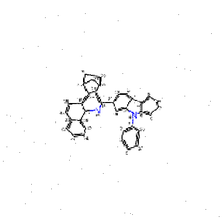 c1ccc(-n2c3ccccc3c3ccc(-c4nc5c(ccc6ccccc65)c5c4C4CCC5C4)cc32)cc1